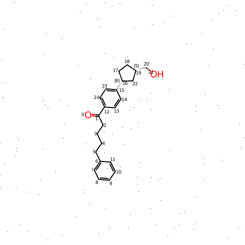 O=C(CCCCc1ccccc1)c1ccc([C@@H]2CC[C@H](CO)C2)cc1